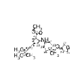 COC(=O)c1sc(C#CC(C)(C)C)cc1N[C@H]1CC[C@@](C)(CO[C@H]2CCOC2)CC1